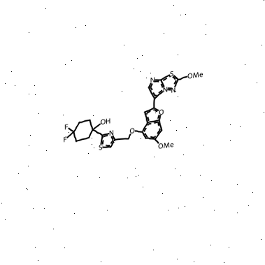 COc1cc(OCc2csc(C3(O)CCC(F)(F)CC3)n2)c2cc(-c3cnc4sc(OC)nn34)oc2c1